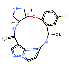 C=C1N[C@H]2CNC[C@H]2Oc2ccc(F)cc2[C@@H](C)Nc2ccn3ncc1c3n2